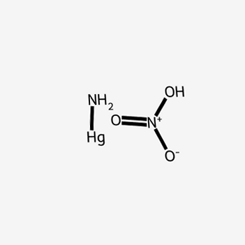 O=[N+]([O-])O.[NH2][Hg]